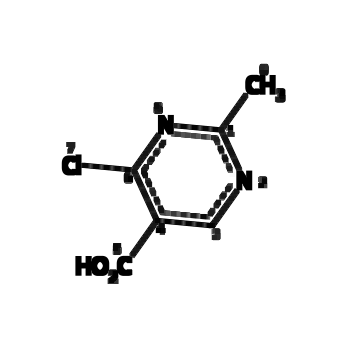 Cc1ncc(C(=O)O)c(Cl)n1